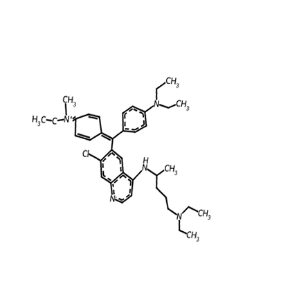 CCN(CC)CCCC(C)Nc1ccnc2cc(Cl)c(C(=C3C=CC(=[N+](C)CC)C=C3)c3ccc(N(CC)CC)cc3)cc12